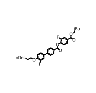 CCCCCCCCCCCCOc1ccc(-c2ccc(C(=O)Oc3ccc(C(=O)OCC(C)CC)cc3F)cc2)cc1F